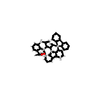 c1ccc2c(c1)-c1ccccc1[Si]21c2ccc3c4c2-n2c5c1ccnc5c1ccc[n+](c12)[N+]41c2c(cccc2-c2cccc[n+]21)O3